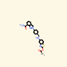 NC(=O)c1cccc2cn(-c3ccc(CNc4ccc5c(c4)[N+]=C(OC(=O)C(F)(F)F)S5)cc3)nc12